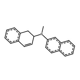 CN(c1ccc2ccccc2c1)C1C=Cc2ccccc2C1